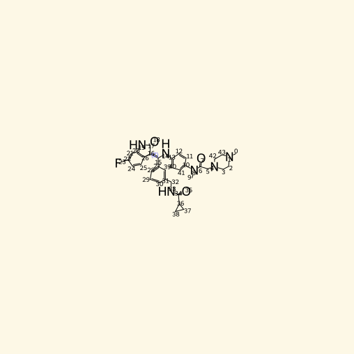 CN1CCN(CC(=O)N(C)c2ccc(N/C(=C3\C(=O)Nc4cc(F)ccc43)c3cccc(CNC(=O)C4CC4)c3)cc2)CC1